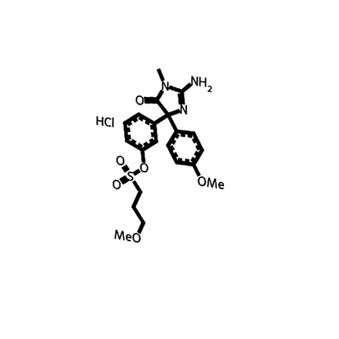 COCCCS(=O)(=O)Oc1cccc(C2(c3ccc(OC)cc3)N=C(N)N(C)C2=O)c1.Cl